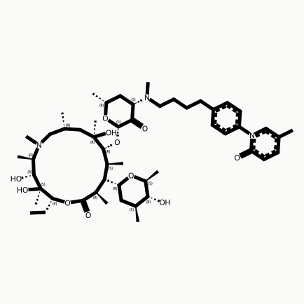 CC[C@H]1OC(=O)[C@H](C)C([C@H]2C[C@H](C)[C@@H](O)[C@H](C)O2)[C@H](C)[C@@H](O[C@@H]2O[C@H](C)C[C@H](N(C)CCCCc3ccc(-n4cc(C)ccc4=O)cc3)C2=O)[C@](C)(O)C[C@@H](C)CN(C)[C@H](C)[C@@H](O)[C@]1(C)O